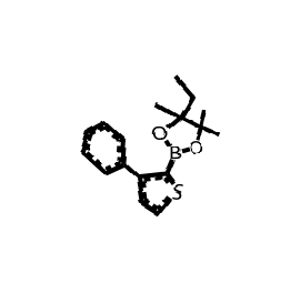 CCC1(C)OB(c2sccc2-c2ccccc2)OC1(C)C